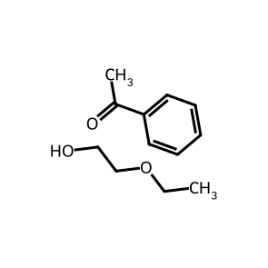 CC(=O)c1ccccc1.CCOCCO